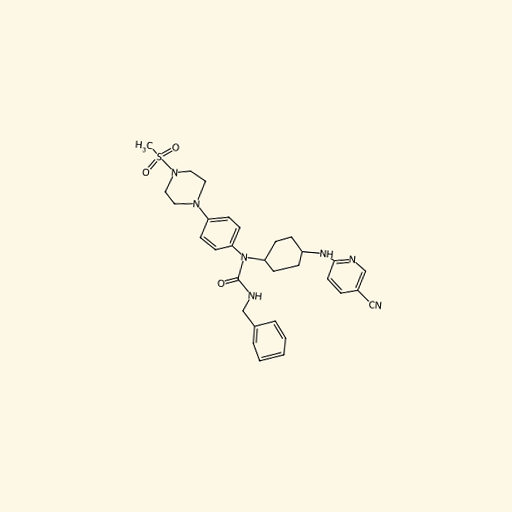 CS(=O)(=O)N1CCN(c2ccc(N(C(=O)NCc3ccccc3)C3CCC(Nc4ccc(C#N)cn4)CC3)cc2)CC1